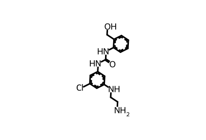 NCCNc1cc(Cl)cc(NC(=O)Nc2ccccc2CO)c1